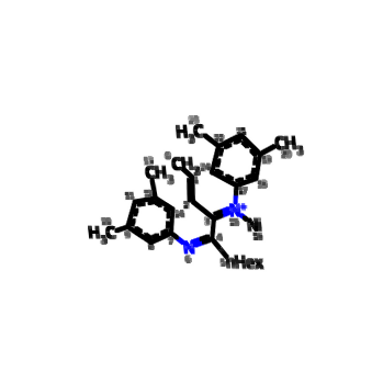 CC=CC(C(CCCCCC)=Nc1cc(C)cc(C)c1)=[N+]([Ni])c1cc(C)cc(C)c1